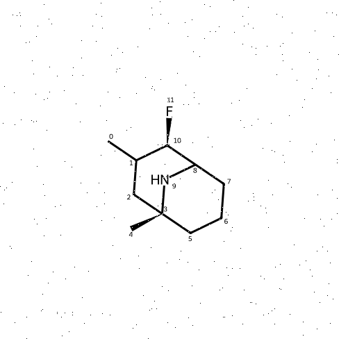 CC1C[C@@]2(C)CCCC(N2)[C@@H]1F